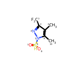 Cc1c(C(F)(F)F)nn([SH](=O)=O)c1C